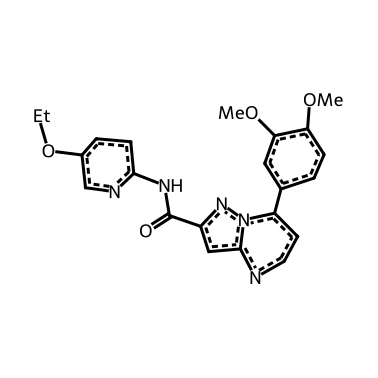 CCOc1ccc(NC(=O)c2cc3nccc(-c4ccc(OC)c(OC)c4)n3n2)nc1